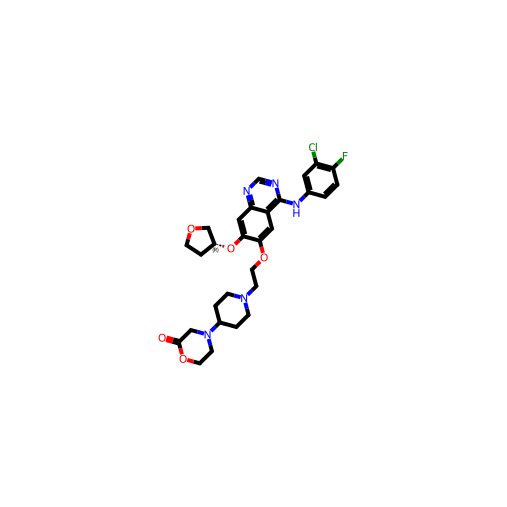 O=C1CN(C2CCN(CCOc3cc4c(Nc5ccc(F)c(Cl)c5)ncnc4cc3O[C@@H]3CCOC3)CC2)CCO1